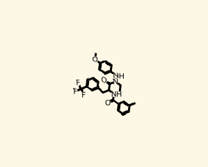 CCN(Nc1ccc(OC)cc1)C(=O)C(Cc1cccc(C(F)(F)F)c1)NC(=O)c1cccc(C)c1